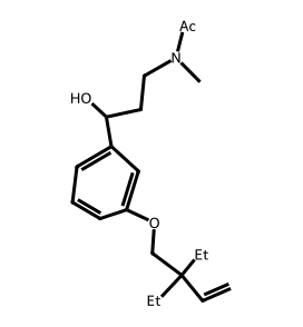 C=CC(CC)(CC)COc1cccc(C(O)CCN(C)C(C)=O)c1